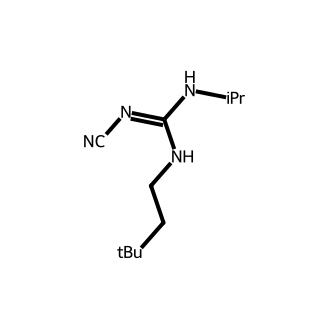 CC(C)N/C(=N/C#N)NCCC(C)(C)C